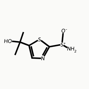 CC(C)(O)c1cnc([S+](N)[O-])s1